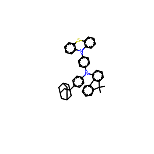 CC1(C)c2ccccc2-c2c(N(c3ccc(N4c5ccccc5Sc5ccccc54)cc3)c3ccc(C45CC6CC(CC(C6)C4)C5)cc3)cccc21